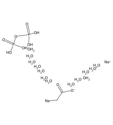 O.O.O.O.O.O.O.O.O.O.O.O.O.O=C([O-])[CH2][Na].O=P(O)(O)OP(=O)(O)O.[Na+]